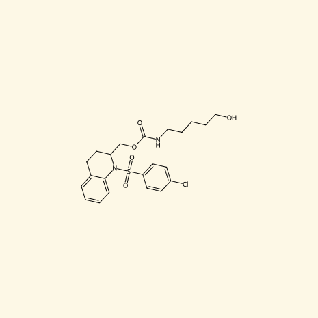 O=C(NCCCCCO)OCC1CCc2ccccc2N1S(=O)(=O)c1ccc(Cl)cc1